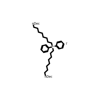 CCCCCCCCCCCCCCCCCC[P+](CCCCCCCCCCCCCCCCCC)(c1ccccc1)c1ccccc1.[I-]